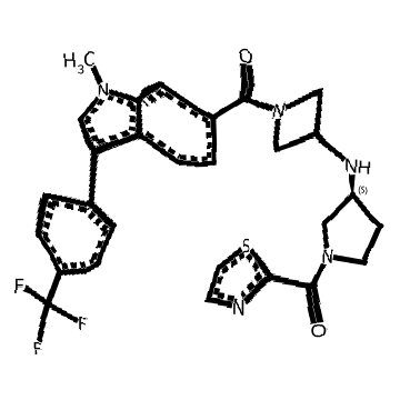 Cn1cc(-c2ccc(C(F)(F)F)cc2)c2ccc(C(=O)N3CC(N[C@H]4CCN(C(=O)c5nccs5)C4)C3)cc21